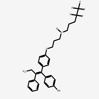 CC/C(=C(/c1ccc(O)cc1)c1ccc(OCCC[S+]([O-])CCCC(F)(F)C(F)(F)F)cc1)c1ccccc1